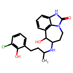 CC(CCc1cccc(Cl)c1O)NC1CCn2c(=O)[nH]c3cccc(c32)C1O